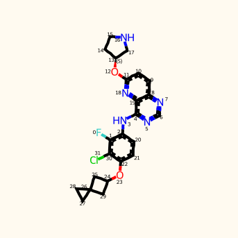 Fc1c(Nc2ncnc3ccc(O[C@H]4CCNC4)nc23)ccc(OC2CC3(CC3)C2)c1Cl